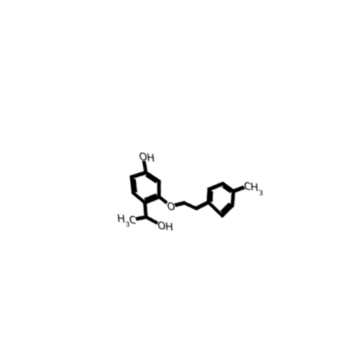 Cc1ccc(CCOc2cc(O)ccc2C(C)O)cc1